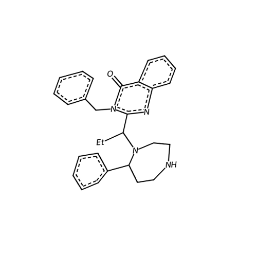 CCC(c1nc2ccccc2c(=O)n1Cc1ccccc1)N1CCNCCC1c1ccccc1